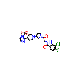 Cn1ccnc1C1CCN(C2CCN(C(=O)CNC(=O)c3ccc(Cl)c(Cl)c3)C2)CC1O